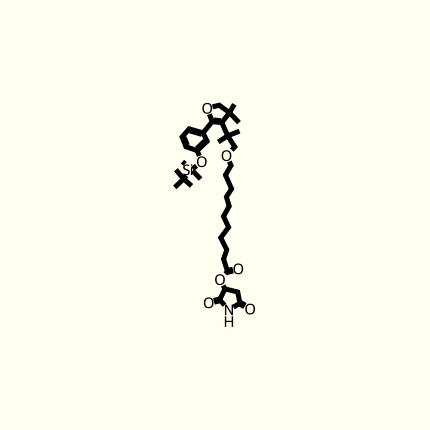 CC(C)(COCCCCCCCCCCC(=O)OC1CC(=O)NC1=O)C1=C(c2cccc(O[Si](C)(C)C(C)(C)C)c2)OCC1(C)C